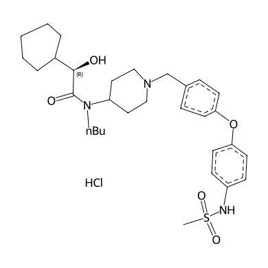 CCCCN(C(=O)[C@H](O)C1CCCCC1)C1CCN(Cc2ccc(Oc3ccc(NS(C)(=O)=O)cc3)cc2)CC1.Cl